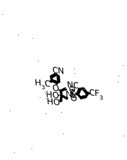 Cc1cc(C#N)ccc1O[C@H]1CN(S(=O)(=O)c2ccc(C(F)(F)F)cc2C#N)C[C@@]1(O)CO